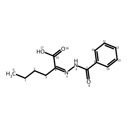 CCCCC(=NNC(=O)c1ccccc1)C(=O)O